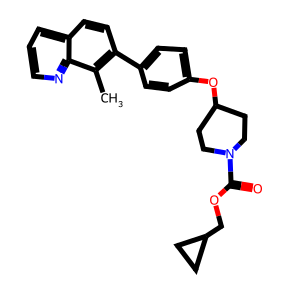 Cc1c(-c2ccc(OC3CCN(C(=O)OCC4CC4)CC3)cc2)ccc2cccnc12